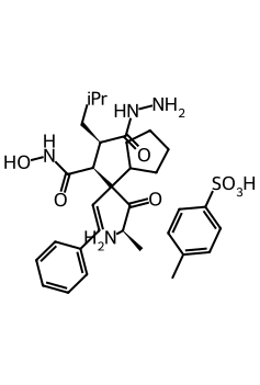 CC(C)C[C@@H](C(=O)NN)[C@H](C(=O)NO)C(/C=C/c1ccccc1)(C(=O)[C@@H](C)N)C1CCCC1.Cc1ccc(S(=O)(=O)O)cc1